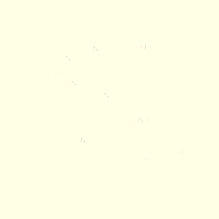 Cn1c(=O)n(Cc2ccccc2C#N)c2c(N3CCCC(NC(=O)OC(C)(C)C)C3)cc(CO)nc21